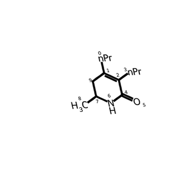 CCCC1=C(CCC)C(=O)NC(C)C1